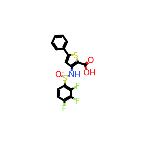 O=C(O)c1sc(-c2ccccc2)cc1N[S+]([O-])c1ccc(F)c(F)c1F